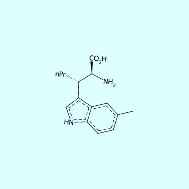 CCC[C@@H](c1c[nH]c2ccc(C)cc12)[C@H](N)C(=O)O